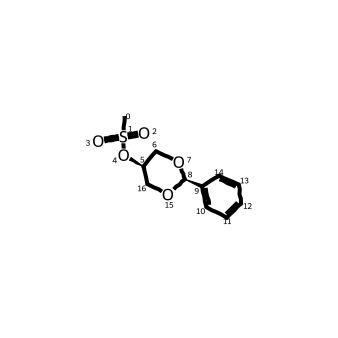 CS(=O)(=O)O[C@H]1CO[C@@H](c2ccccc2)OC1